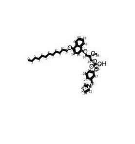 CCCCCCCCCCCCOc1ccc(OCC(COP(=O)(O)Oc2cccc(C[n+]3ccsc3)c2)OC)c2ccccc12